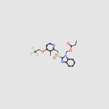 CCC(=O)OCn1c([S@+]([O-])Cc2nccc(OCC(F)(F)F)c2C)nc2ccccc21